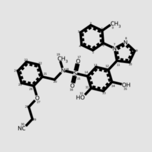 Cc1ccccc1-n1nccc1-c1cc(S(=O)(=O)N(C)Cc2ccccc2OCCC#N)c(O)cc1O